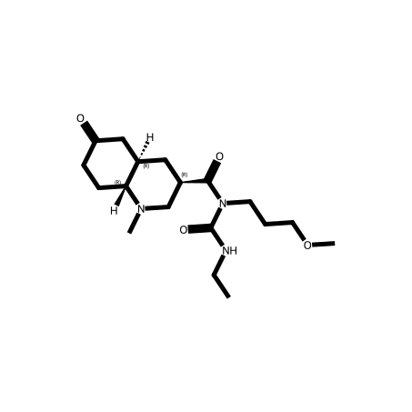 CCNC(=O)N(CCCOC)C(=O)[C@@H]1C[C@@H]2CC(=O)CC[C@H]2N(C)C1